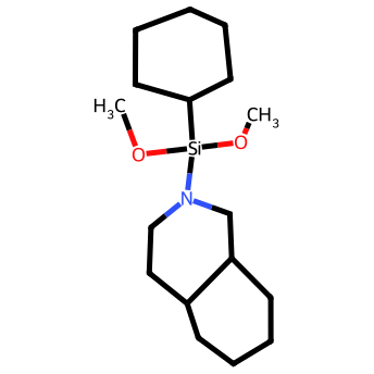 CO[Si](OC)(C1CCCCC1)N1CCC2CCCCC2C1